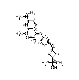 COc1nc(N(C)C)ccc1-c1nc2nc(OC3CC(C(C)(C)O)C3)[nH]c2cc1Cl